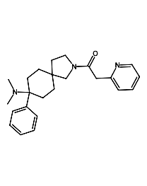 CN(C)C1(c2ccccc2)CCC2(CCN(C(=O)Cc3ccccn3)C2)CC1